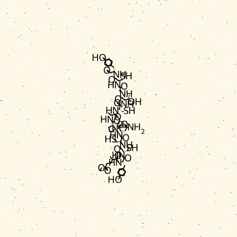 COC(=O)CCC(C)C(=O)N[C@@H](Cc1ccc(O)cc1)C(=O)N[C@@H](CS)C(=O)N[C@@H](CS)C(=O)N[C@@H](CC(N)=O)C(=O)N1CCC[C@H]1C(=O)NC(C)C(=O)N[C@@H](CS)C(=O)N[C@H](C(=O)NCC(=O)NC(CS)C(=O)N[C@H](C=O)Cc1ccc(O)cc1)[C@@H](C)O